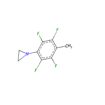 Cc1c(F)c(F)c(N2CC2)c(F)c1F